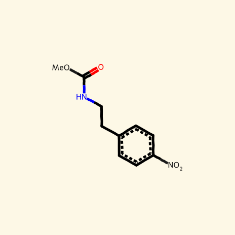 COC(=O)NCCc1ccc([N+](=O)[O-])cc1